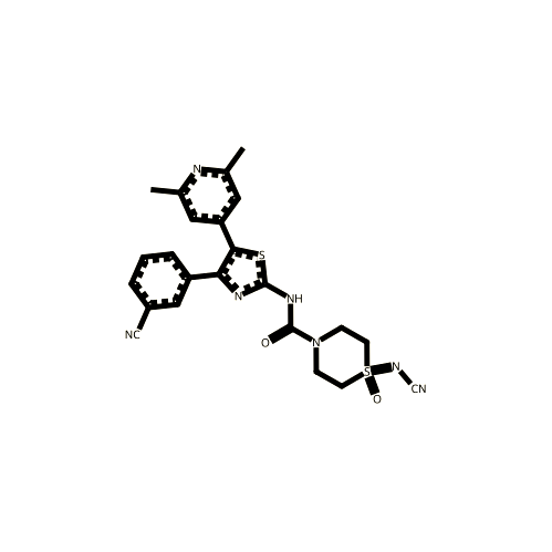 Cc1cc(-c2sc(NC(=O)N3CCS(=O)(=NC#N)CC3)nc2-c2cccc(C#N)c2)cc(C)n1